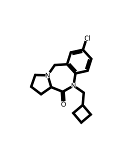 O=C1C2CCCN2Cc2cc(Cl)ccc2N1CC1CCC1